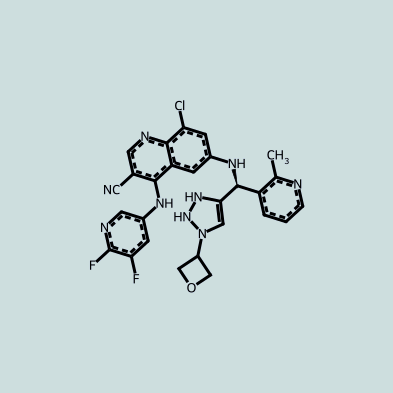 Cc1ncccc1[C@H](Nc1cc(Cl)c2ncc(C#N)c(Nc3cnc(F)c(F)c3)c2c1)C1=CN(C2COC2)NN1